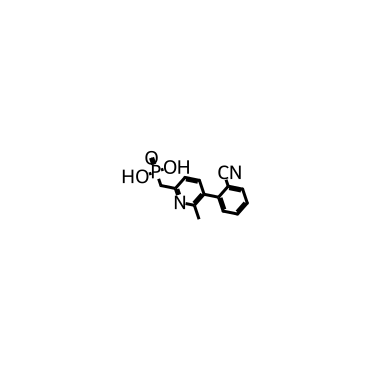 Cc1nc(CP(=O)(O)O)ccc1-c1ccccc1C#N